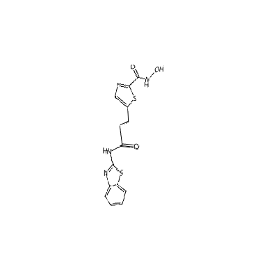 O=C(CCc1ccc(C(=O)NO)s1)Nc1nc2ccccc2s1